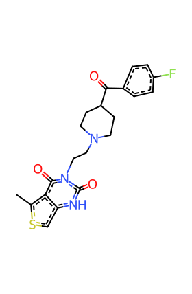 Cc1scc2[nH]c(=O)n(CCN3CCC(C(=O)c4ccc(F)cc4)CC3)c(=O)c12